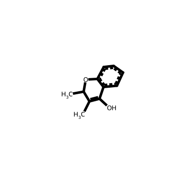 CC1=C(O)c2ccccc2OC1C